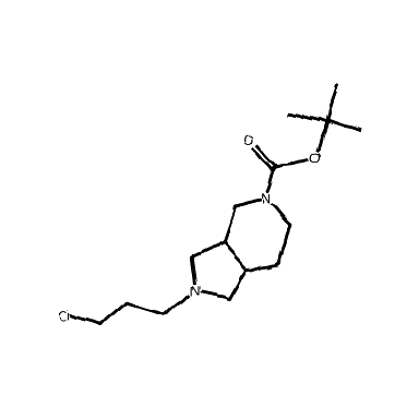 CC(C)(C)OC(=O)N1CCC2CN(CCCCl)CC2C1